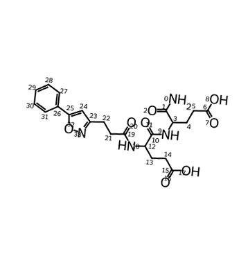 NC(=O)C(CCC(=O)O)NC(=O)C(CCC(=O)O)NC(=O)CCc1cc(-c2ccccc2)on1